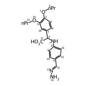 CCCOc1ccc(C(Nc2ccc(C=NN)cc2)C(=O)O)cc1OCCC